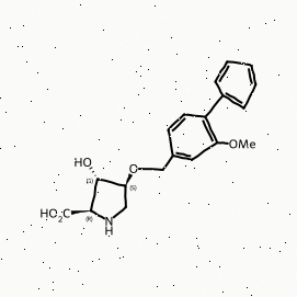 COc1cc(CO[C@H]2CN[C@@H](C(=O)O)[C@@H]2O)ccc1-c1ccccc1